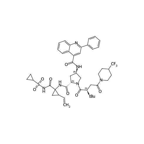 C=CC1CC1(NC(=O)[C@@H]1C[C@@H](NC(=O)c2cc(-c3ccccc3)nc3ccccc23)CN1C(=O)[C@@H](CC(=O)N1CCC(C(F)(F)F)CC1)C(C)(C)C)C(=O)NS(=O)(=O)C1CC1